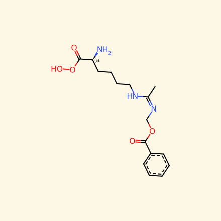 CC(=NCOC(=O)c1ccccc1)NCCCC[C@H](N)C(=O)OO